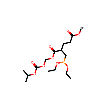 BOC(=O)CCC(CP(OCC)OCC)C(=O)OCOC(=O)OC(C)C